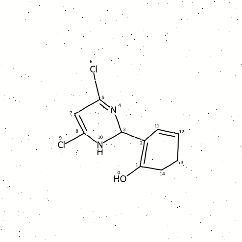 OC1=C(C2N=C(Cl)C=C(Cl)N2)C=CCC1